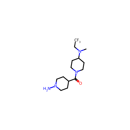 CN(CC(F)(F)F)C1CCN(C(=O)C2CCN(N)CC2)CC1